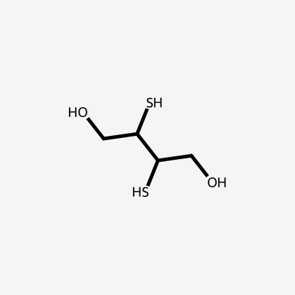 OCC(S)C(S)CO